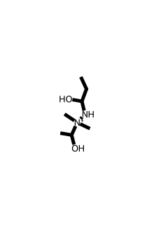 CCC(O)N[N+](C)(C)C(C)O